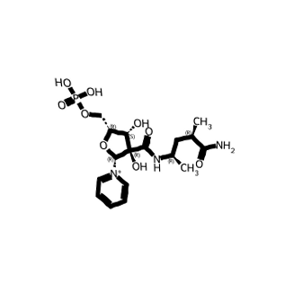 C[C@H](C[C@@H](C)C(N)=O)NC(=O)[C@@]1(O)[C@@H](O)[C@@H](COP(=O)(O)O)O[C@H]1[n+]1ccccc1